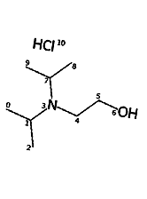 CC(C)N(CCO)C(C)C.Cl